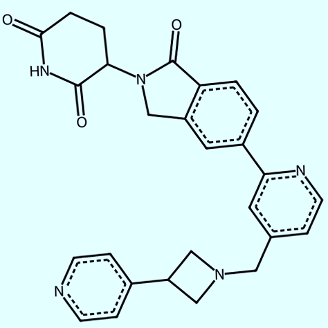 O=C1CCC(N2Cc3cc(-c4cc(CN5CC(c6ccncc6)C5)ccn4)ccc3C2=O)C(=O)N1